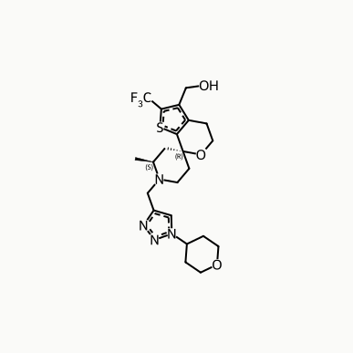 C[C@H]1C[C@@]2(CCN1Cc1cn(C3CCOCC3)nn1)OCCc1c2sc(C(F)(F)F)c1CO